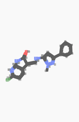 Cn1nc(-c2ccccc2)cc1NC=C1C(=O)Nc2nc(Cl)ccc21